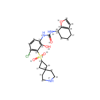 O=C(Nc1ccc(Cl)c(S(=O)(=O)C2CC3(CCNCC3)C2)c1O)N[C@@H]1CCCc2ccoc21